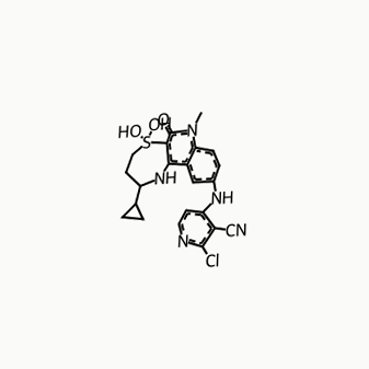 Cn1c(=O)c2c(c3cc(Nc4ccnc(Cl)c4C#N)ccc31)NC(C1CC1)CCS2(O)O